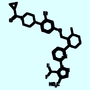 CCc1cc(OCC2=C(c3cccc(-n4ncc(C(=O)O)c4C(F)F)n3)CCCC2C)ccc1C1CCN(C(=O)C2CC2)CC1